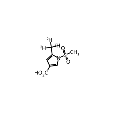 [2H]C([2H])([2H])c1cc(C(=O)O)cn1S(C)(=O)=O